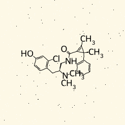 CC1=C(C(=O)NC[C@H](Cc2ccc(O)cc2Cl)N(C)C)[C@@]1(C)c1ccccc1